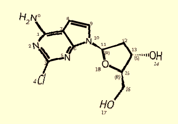 Nc1nc(Cl)nc2c1ccn2[C@H]1C[C@H](O)[C@@H](CO)O1